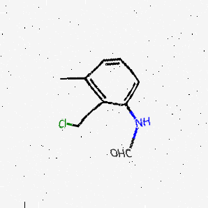 Cc1cccc(NC=O)c1CCl